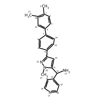 Cc1ccc(-c2ccc(-c3cc(C(N)c4ccncc4)n(C)n3)cc2)cc1C